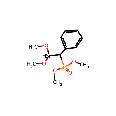 CO[SiH](OC)C(c1ccccc1)P(=O)(OC)OC